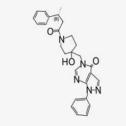 C[C@H](CC(=O)N1CCC(O)(Cn2cnc3c(cnn3-c3ccccc3)c2=O)CC1)c1ccccc1